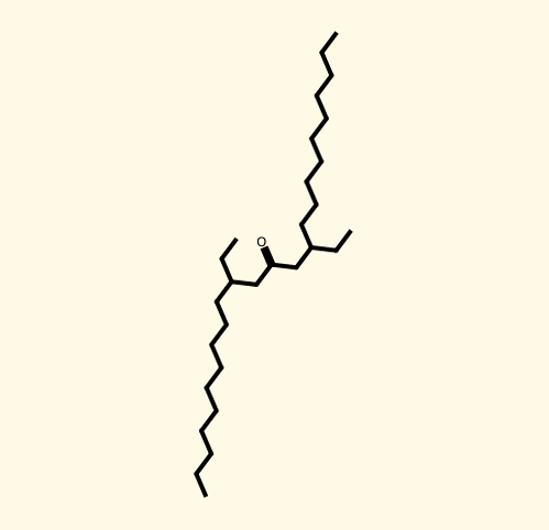 CCCCCCCCCCC(CC)CC(=O)CC(CC)CCCCCCCCCC